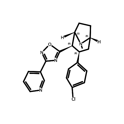 CN1[C@@H]2CC[C@H]1[C@H](c1nc(-c3cccnc3)no1)[C@H](c1ccc(Cl)cc1)C2